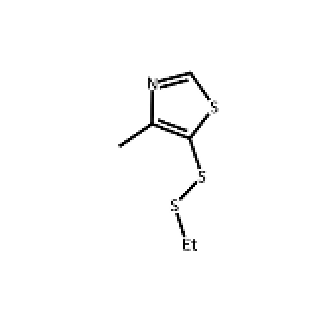 CCSSc1scnc1C